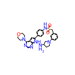 NC1CCN(c2cccc(CS(=O)(=O)Nc3ccc(-c4cc5c(N6CCOCC6)ncnc5[nH]4)cc3)c2)C1